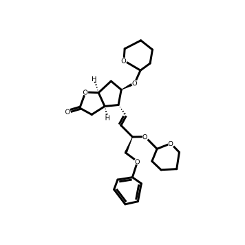 O=C1C[C@@H]2[C@@H](C=C[C@H](COc3ccccc3)OC3CCCCO3)[C@H](OC3CCCCO3)C[C@@H]2O1